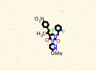 COc1ccc(-n2c(=O)c3c(C)c(-c4ccc([N+](=O)[O-])cc4)sc3n(Cc3c(F)cccc3F)c2=O)nn1